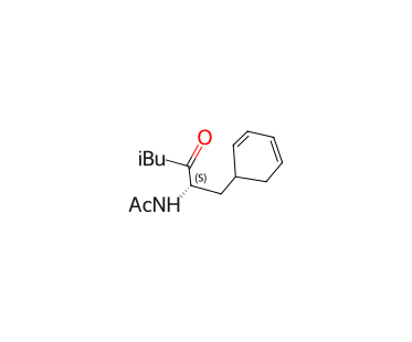 CCC(C)C(=O)[C@H](CC1C=CC=CC1)NC(C)=O